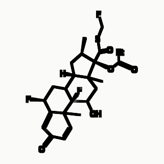 CCC(=O)O[C@]1(C(=O)SCF)[C@H](C)C[C@H]2C3C[C@H](F)C4=CC(=O)C=CC4(C)[C@@]3(F)C(O)CC21C